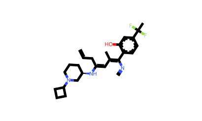 C=CC/C(=C\C(C)=C(/N=C)c1ccc(C(C)(F)F)cc1O)N[C@@H]1CCCN(C2CCC2)C1